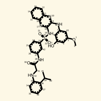 COc1cc(O)cc(Nc2nc3ccccc3nc2NS(=O)(=O)c2cccc(NC(=O)CNc3ccccc3C(C)C)c2)c1